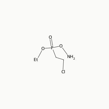 CCOP(=O)(CCCl)ON